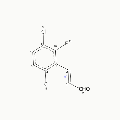 O=C/C=C/c1c(Cl)ccc(Cl)c1F